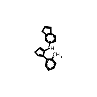 Cc1ccccc1C1=CCC=C1Pc1ccc2c(c1)CC=C2